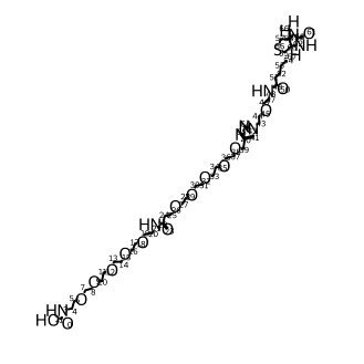 O=C(O)NCCOCCOCCOCCOCCOCCNC(=O)CCOCCOCCOCCOCCOCc1cn(CCOCCNC(=O)CCCC[C@@H]2SC[C@@H]3NC(=O)N[C@@H]32)nn1